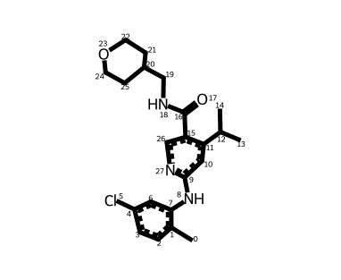 Cc1ccc(Cl)cc1Nc1cc(C(C)C)c(C(=O)NCC2CCOCC2)cn1